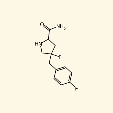 NC(=O)C1CC(F)(Cc2ccc(F)cc2)CN1